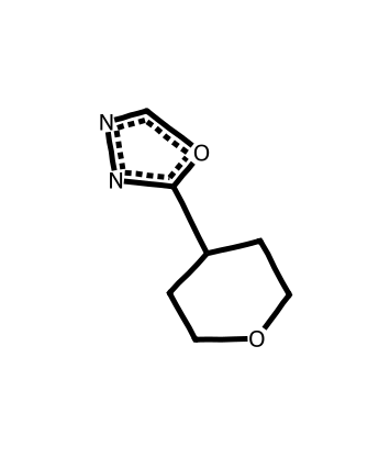 c1nnc(C2CCOCC2)o1